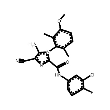 COc1ccc(C)c(-n2c(C(=O)Nc3ccc(F)c(Cl)c3)nc(C#N)c2N)c1C